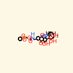 C[C@@H](O)[C@@]12O[C@]13c1cc(O)c4c(c1N[C@H]2C#C/C=C\C#C[C@H]3O)C(=O)c1ccc(CNC(=O)OCCS(=O)(=O)c2ccccc2)cc1C4=O